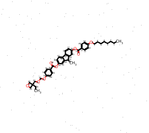 CCCCCCCCOc1ccc(C(=O)Oc2ccc3c(c2)C(C)c2cc(OC(=O)c4ccc(OCOCC5(CC)COC5)cc4)ccc2-3)cc1